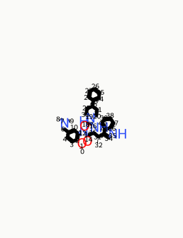 COc1ccc(CN(C)C)cc1NC(=O)[C@H](NC(=O)N1CCC(c2ccccc2)CC1)[C@@H](C)c1c[nH]c2ccccc12